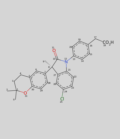 CC1(C)CCc2cc([C@@]3(C)C(=O)N(c4ccc(CC(=O)O)cc4)c4ccc(Cl)cc43)ccc2O1